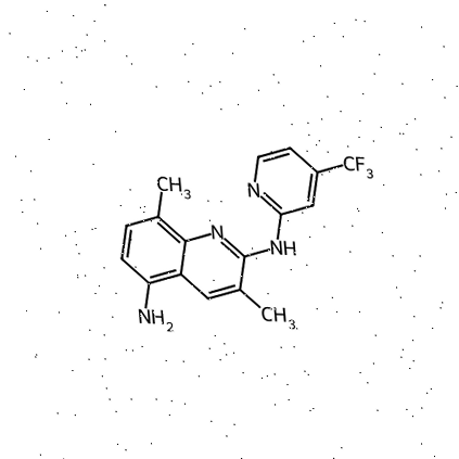 Cc1cc2c(N)ccc(C)c2nc1Nc1cc(C(F)(F)F)ccn1